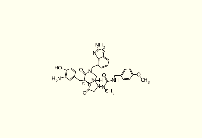 COc1ccc(CNC(=O)N(C)N2CC(=O)N3[C@@H](Cc4ccc(O)c(N)c4)C(=O)N(Cc4cccc5sc(N)nc45)C[C@@H]32)cc1